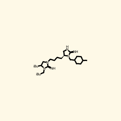 CCC(C)CN1C(=N)N(CCCC[C@H]2CNC(=N)N2CC2CCC(C)CC2)CC1C(C)CC